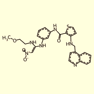 COCCNC(=C[N+](=O)[O-])Nc1cccc(NC(=O)c2sccc2NCc2ccnc3ccccc23)c1